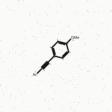 COc1ccc(C#CC(C)=O)cc1